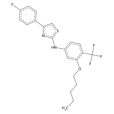 CCCCCOc1cc(Nc2nc(-c3ccc(F)cc3)cs2)ccc1C(F)(F)F